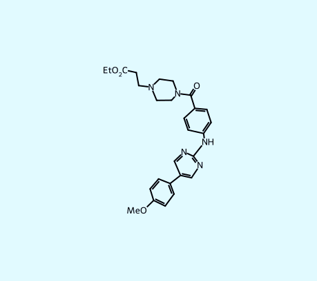 CCOC(=O)CCN1CCN(C(=O)c2ccc(Nc3ncc(-c4ccc(OC)cc4)cn3)cc2)CC1